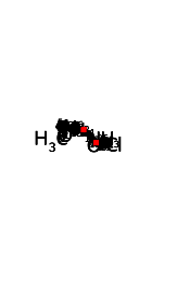 COc1ccccc1N1CCN(CCCCNC(=O)c2ccc(Cl)cc2)CC1